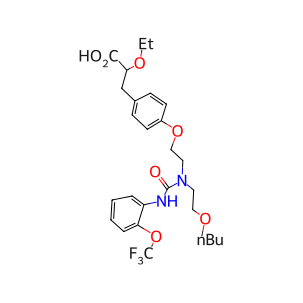 CCCCOCCN(CCOc1ccc(CC(OCC)C(=O)O)cc1)C(=O)Nc1ccccc1OC(F)(F)F